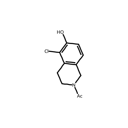 CC(=O)N1CCc2c(ccc(O)c2Cl)C1